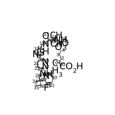 CC(CCCOC(=O)NC(C)(C)C(=O)NCc1cnc(-c2ccc(NCC3(c4ncccc4F)CCC3)nn2)s1)C(=O)O